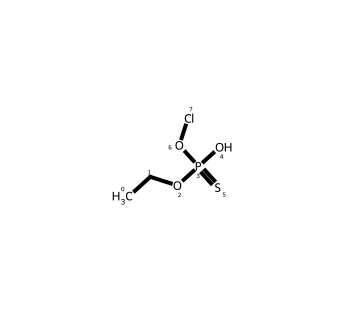 CCOP(O)(=S)OCl